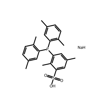 Cc1ccc(C)c(P(c2cc(C)ccc2C)c2cc(C)cc(S(=O)(=O)O)c2C)c1.[NaH]